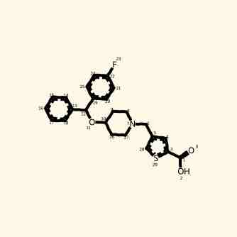 O=C(O)c1cc(CN2CCC(OC(c3ccccc3)c3ccc(F)cc3)CC2)cs1